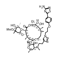 CC[C@H]1OC(=O)[C@H](C)[C@@H](O[C@H]2C[C@@](C)(OC)[C@@H](O)[C@H](C)O2)[C@H](C)[C@@H](O[C@@H]2O[C@H](C)C[C@H](N(C)CCc3cn(CCCOc4ccc(-c5nc(N)ns5)cc4)nn3)[C@H]2O)[C@](C)(O)C[C@@H](C)CN(C)[C@H](C)[C@@H](O)[C@]1(C)O